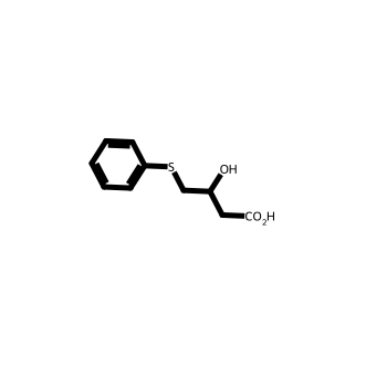 O=C(O)CC(O)CSc1ccccc1